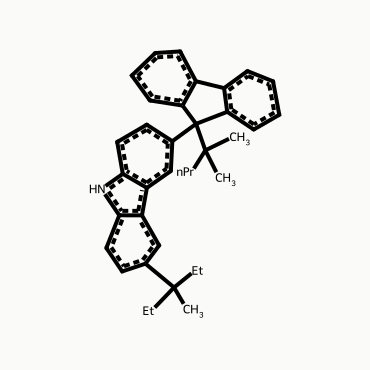 CCCC(C)(C)C1(c2ccc3[nH]c4ccc(C(C)(CC)CC)cc4c3c2)c2ccccc2-c2ccccc21